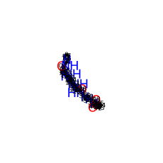 O=C(NCCN1CCCCC1)c1ccc2nc(-c3ccc(-c4nc5ccc(C(=O)NCCN6CCN(CCN7C(=O)c8ccccc8C7=O)CC6)cc5[nH]4)cc3)[nH]c2c1